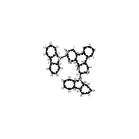 c1ccc2c(c1)c1cnc(-n3c4ccccc4c4ccccc43)nc1c1nc(-n3c4ccccc4c4ccccc43)ncc21